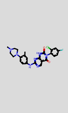 Cc1cc(Nc2ncc3c(=O)n(-c4ccc(F)cc4Cl)c(=O)[nH]c3n2)ccc1N1CCN(C)CC1